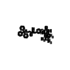 CC(C)(C)OC(=O)N[C@H](Cc1ccc(CNC(=O)CCSC(c2ccccc2)(c2ccccc2)c2ccccc2)cc1)C(=O)O